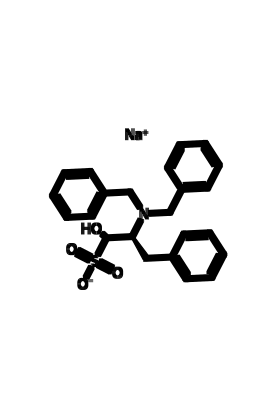 O=S(=O)([O-])C(O)[C@H](Cc1ccccc1)N(Cc1ccccc1)Cc1ccccc1.[Na+]